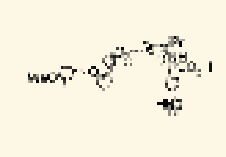 COc1ccc(CCO[C@@H]2CCCC[C@H]2N2CC[C@@H](OC(=O)CCSSC[C@H](C(=O)N[C@@H](Cc3ccc(-c4ccn[nH]4)cc3)C(=O)O)C(C)C)C2)cc1C